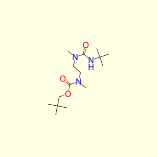 CN(CCN(C)C(=O)OCC(C)(C)C)C(=O)NC(C)(C)C